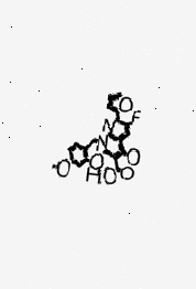 COc1ccc(Cn2cc(C(=O)O)c(=O)c3cc(F)c(-c4ccco4)nc32)c(OC)c1